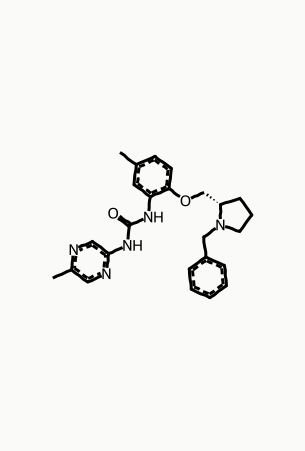 Cc1ccc(OC[C@@H]2CCCN2Cc2ccccc2)c(NC(=O)Nc2cnc(C)cn2)c1